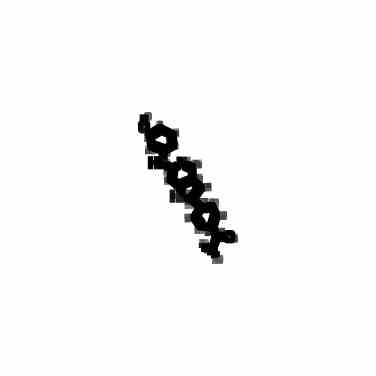 COc1cccc(Nc2cc3[nH]c(-c4ccc(C(=O)N(C)C)cc4)cc3cn2)c1